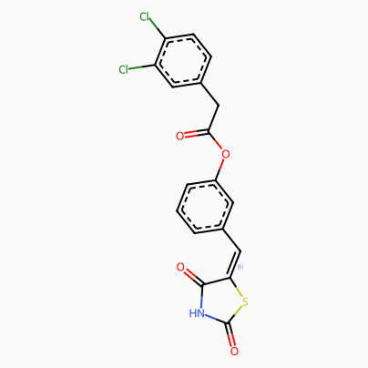 O=C(Cc1ccc(Cl)c(Cl)c1)Oc1cccc(/C=C2/SC(=O)NC2=O)c1